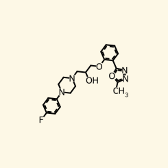 Cc1nnc(-c2ccccc2OCC(O)CN2CCN(c3ccc(F)cc3)CC2)o1